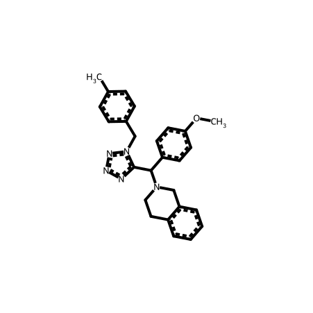 COc1ccc(C(c2nnnn2Cc2ccc(C)cc2)N2CCc3ccccc3C2)cc1